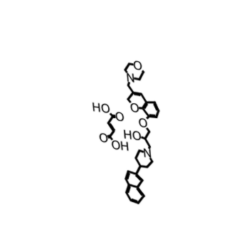 O=C(O)C=CC(=O)O.OC(COc1cccc2c1OCC(CN1CCOCC1)=C2)CN1CCC(c2ccc3ccccc3c2)CC1